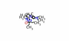 CCCc1nc2n(c(=O)c1CCC)N=C(C(C)(C)C)C2=Nc1ccc(N(CC)CC)cc1C